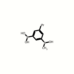 CB(O)c1cc(B(O)O)cc(C(C)C)c1